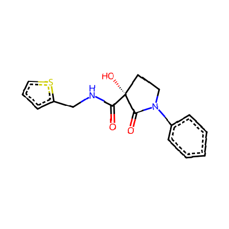 O=C(NCc1cccs1)[C@@]1(O)CCN(c2ccccc2)C1=O